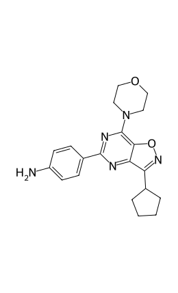 Nc1ccc(-c2nc(N3CCOCC3)c3onc(C4CCCC4)c3n2)cc1